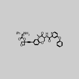 CC(C)[C@H](N)C(=O)OC1(C#Cc2ccc3c(c2)N(C)C(=O)C(NC(=O)c2cc(Oc4ccccc4)ccn2)CO3)COC1